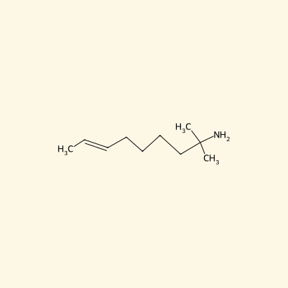 C/C=C/CCCCC(C)(C)N